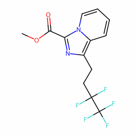 COC(=O)c1nc(CCC(F)(F)C(F)(F)F)c2ccccn12